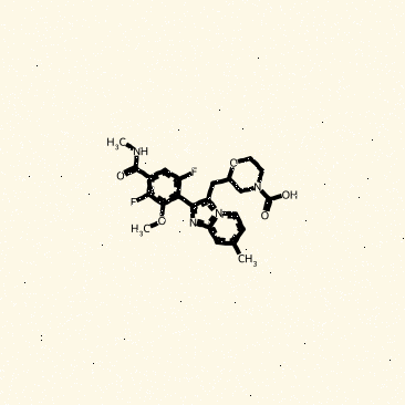 CNC(=O)c1cc(F)c(-c2nc3cc(C)ccn3c2CC2CN(C(=O)O)CCO2)c(OC)c1F